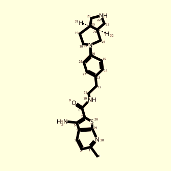 Cc1ccc2c(N)c(C(=O)NCCc3ccc(N4CC[C@H]5CNC[C@H]5C4)cc3)sc2n1